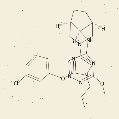 CCCn1nc(N[C@H]2[C@@H]3CC[C@H]2CN(c2cnnc(OC)c2)C3)nc1Oc1cccc(Cl)c1